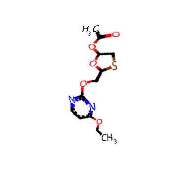 CCOc1ccnc(OCC2OC(OC(C)=O)CS2)n1